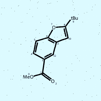 COC(=O)c1ccc2oc(C(C)(C)C)cc2c1